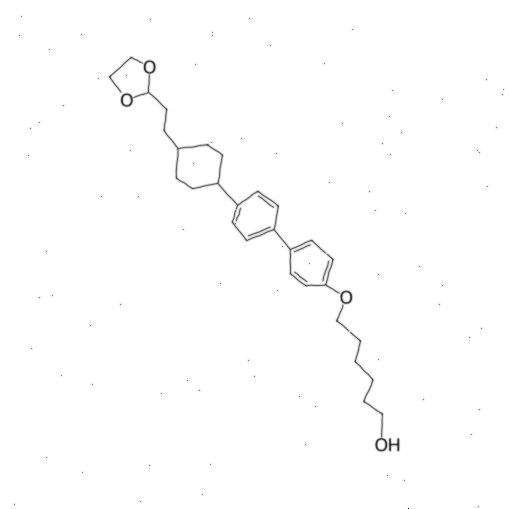 OCCCCCCOc1ccc(-c2ccc(C3CCC(CCC4OCCO4)CC3)cc2)cc1